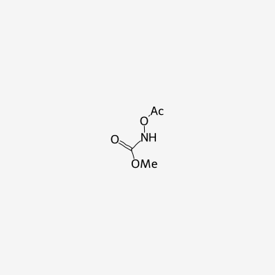 COC(=O)NOC(C)=O